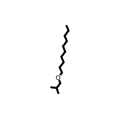 CCCCCCCCCCOCC(C)C